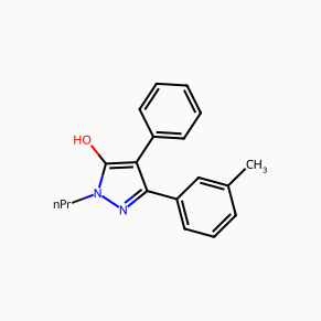 CCCn1nc(-c2cccc(C)c2)c(-c2ccccc2)c1O